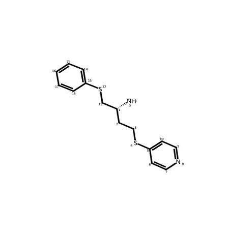 [NH][C@H](CCSc1ccncc1)CSc1ccccc1